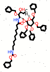 CC[C@@H](O)[C@@H](OCc1ccccc1)[C@H](CO[C@H]1OC(COCc2ccccc2)[C@H](OCc2ccccc2)[C@H](OCc2ccccc2)C1OCc1ccccc1)NC(=O)CCCCCCCCCCNC(=O)OCc1ccccc1